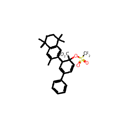 Cc1cc2c(cc1C1C=C(c3ccccc3)C=CC1(OS(=O)(=O)C(F)(F)F)C(=O)O)C(C)(C)CCC2(C)C